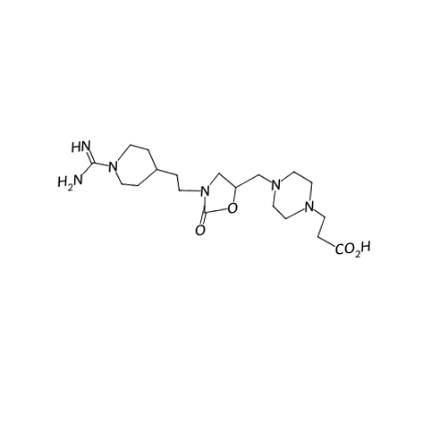 N=C(N)N1CCC(CCN2CC(CN3CCN(CCC(=O)O)CC3)OC2=O)CC1